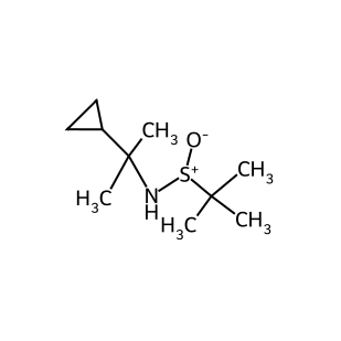 CC(C)(N[S+]([O-])C(C)(C)C)C1CC1